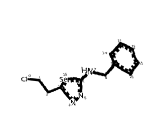 ClCCc1nnc(NCc2ccccc2)[se]1